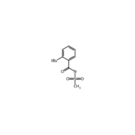 CC(C)(C)c1ccccc1C(=O)[N]S(C)(=O)=O